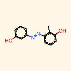 Cc1c(O)cccc1N=Nc1cccc(O)c1